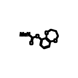 CNC(=O)Oc1cccc2c1OCCCO2